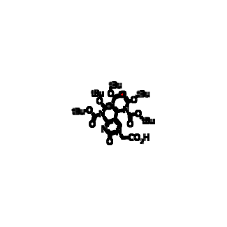 CC(C)(C)OC(=O)/N=C(/c1cn(CC(=O)O)c(=O)nc1N(C(=O)OC(C)(C)C)C(=O)OC(C)(C)C)N(C(=O)OC(C)(C)C)C(=O)OC(C)(C)C